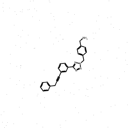 NCc1ccc(Cn2nnc(-c3cccc(C#CCc4ccccc4)c3)n2)cc1